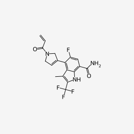 C=CC(=O)N1CC=C(c2c(F)cc(C(N)=O)c3[nH]c(C(F)(F)F)c(C)c23)C1